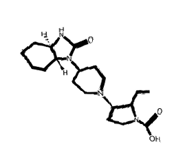 CCC1[C@H](N2CCC(N3C(=O)N[C@@H]4CCCC[C@H]43)CC2)CCN1C(=O)O